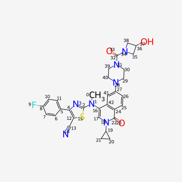 CN(c1nc(-c2ccc(F)cc2)c(C#N)s1)c1cn(C2CC2)c(=O)c2ccc(N3CCN(C(=O)N4CC(O)C4)CC3)cc12